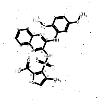 COc1ccc(OC)c(Nc2nc3ccccc3nc2NS(=O)(=O)c2c(C)csc2C(=O)O)c1